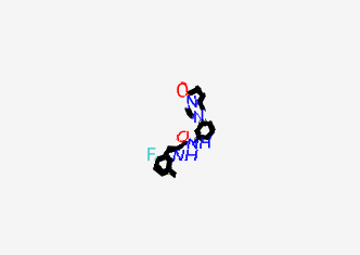 Cc1ccc(F)c2cc(C(=O)N[C@@H]3CCC[C@H](N4CCN5C(=O)CCC5C4)C3)[nH]c12